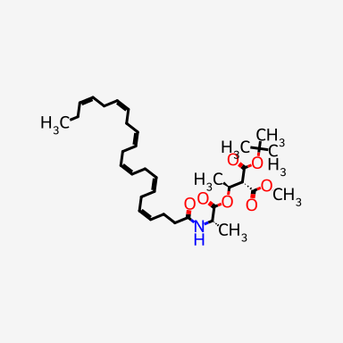 CC/C=C\C/C=C\C/C=C\C/C=C\C/C=C\C/C=C\CCC(=O)N[C@@H](C)C(=O)O[C@@H](C)[C@@H](C(=O)OC)C(=O)OC(C)(C)C